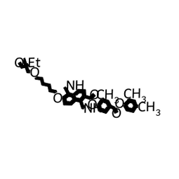 CCC1(COCCCCCCOc2ccc3c(C=N)c(C(=O)Oc4ccc(C(=O)Oc5ccc(C)cc5C)cc4C)ccc3c2C=N)COC1